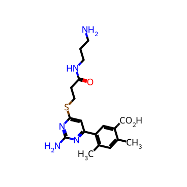 Cc1cc(C)c(-c2cc(SCCC(=O)NCCCN)nc(N)n2)cc1C(=O)O